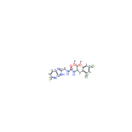 COC(OC)C(Cc1ccc(Cl)cc1Cl)NC(=O)NCc1nc2ccc(F)nc2[nH]1